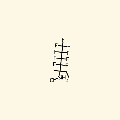 CCC(C)([SiH2]Cl)C(F)(F)C(F)(F)C(F)(F)C(F)(F)F